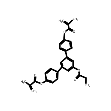 C=C(C)C(=O)Oc1ccc(-c2cc(OC(=O)CC)cc(-c3ccc(OC(=O)C(=C)C)cc3)c2)cc1